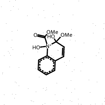 COC(=O)[N+]1(O)c2ccccc2C=CC1(O)OC